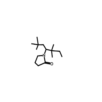 CCC(C)(C)C(CC(C)(C)C)N1CCCC1=O